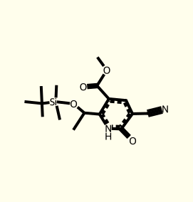 COC(=O)c1cc(C#N)c(=O)[nH]c1C(C)O[Si](C)(C)C(C)(C)C